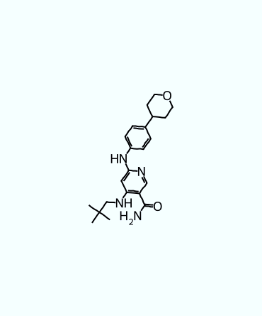 CC(C)(C)CNc1cc(Nc2ccc(C3CCOCC3)cc2)ncc1C(N)=O